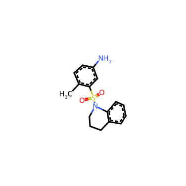 Cc1ccc(N)cc1S(=O)(=O)N1CCCc2ccccc21